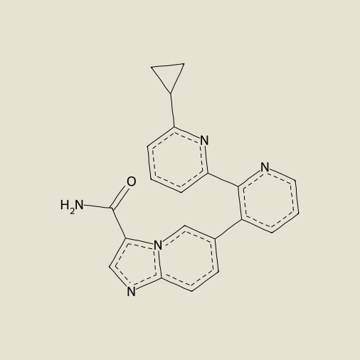 NC(=O)c1cnc2ccc(-c3cccnc3-c3cccc(C4CC4)n3)cn12